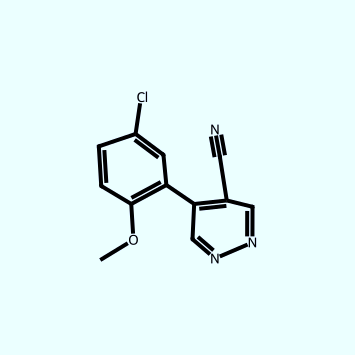 COc1ccc(Cl)cc1-c1cnncc1C#N